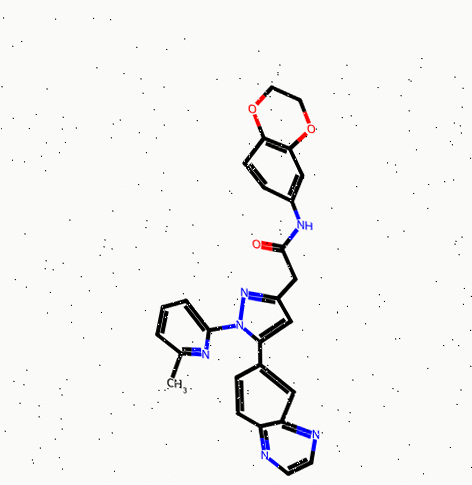 Cc1cccc(-n2nc(CC(=O)Nc3ccc4c(c3)OCCO4)cc2-c2ccc3nccnc3c2)n1